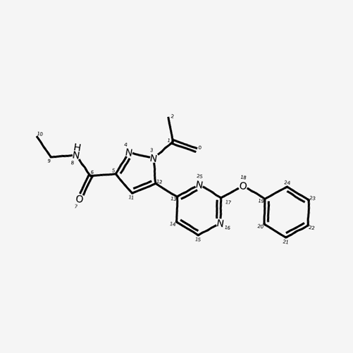 C=C(C)n1nc(C(=O)NCC)cc1-c1ccnc(Oc2ccccc2)n1